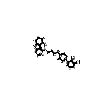 Clc1cccc(N2CCN(CCCCNc3ncnc4sc5c(c34)CCCC5)CC2)c1Cl